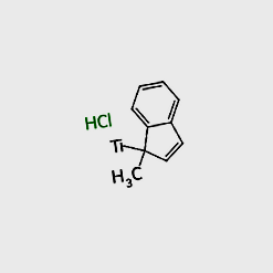 C[C]1([Ti])C=Cc2ccccc21.Cl